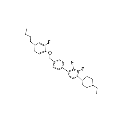 CCCCC1C=C(F)C(OCc2ccc(-c3ccc(C4CCC(CC)CC4)c(F)c3F)cc2)=CC1